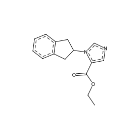 CCOC(=O)c1cncn1C1Cc2ccccc2C1